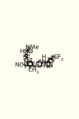 CCC1(Cn2c(C#N)cc3c(C)c(CN4CCC(Nc5ncnc6sc(CC(F)(F)F)cc56)CC4)ccc32)CC(NC(=O)NC)C1